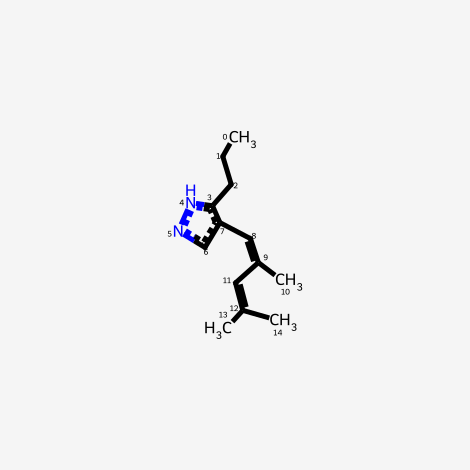 CCCc1[nH]ncc1/C=C(/C)C=C(C)C